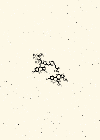 Cc1sc2c(c1C)C(c1ccc(Cl)cc1)=N[C@@H](CNC(=O)CCN1CCOC(Cc3nnc4n3-c3sc(C)c(C)c3C(c3ccc(Cl)cc3)=N[C@@]4(C)CC(=O)OC(C)(C)C)C1)c1nnc(C)n1-2